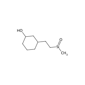 C[Si](=O)CCC1CCCC(O)C1